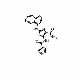 NC(=O)c1nc(Nc2cccc3ccncc23)sc1NC(=O)c1ccsc1